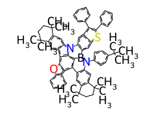 CC(C)(C)c1ccc(N2B3c4cc5sc(-c6ccccc6)c(-c6ccccc6)c5cc4-n4c5cc6c(cc5c5c7oc8ccccc8c7c(c3c54)-c3cc4c(cc32)C(C)(C)CCC4(C)C)C(C)(C)CCC6(C)C)cc1